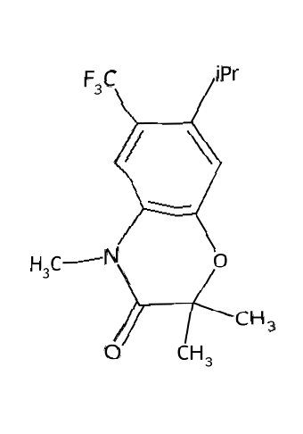 CC(C)c1cc2c(cc1C(F)(F)F)N(C)C(=O)C(C)(C)O2